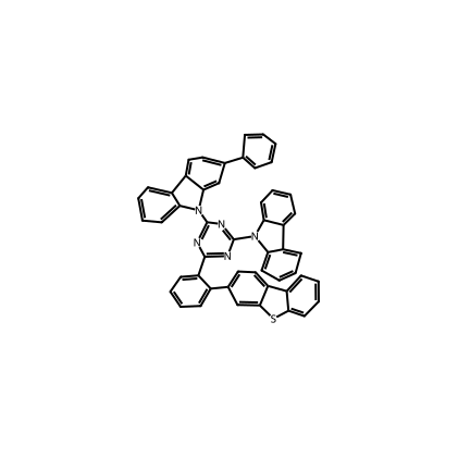 c1ccc(-c2ccc3c4ccccc4n(-c4nc(-c5ccccc5-c5ccc6c(c5)sc5ccccc56)nc(-n5c6ccccc6c6ccccc65)n4)c3c2)cc1